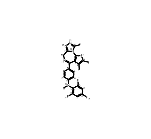 Cc1sc2c(c1C)C(c1ccc(N(C)c3c(F)cc(F)cc3F)cc1)=NCc1nnc(C)n1-2